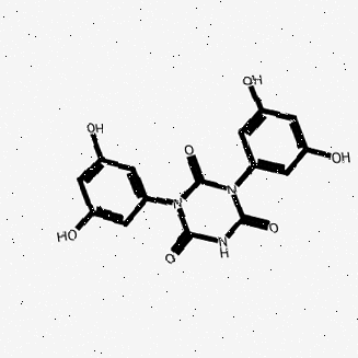 O=c1[nH]c(=O)n(-c2cc(O)cc(O)c2)c(=O)n1-c1cc(O)cc(O)c1